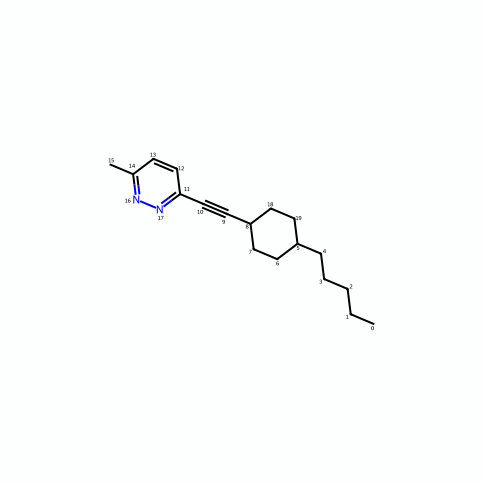 CCCCCC1CCC(C#Cc2ccc(C)nn2)CC1